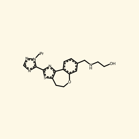 CC(C)n1ncnc1-c1nc2c(s1)CCOc1cc(CNCCO)ccc1-2